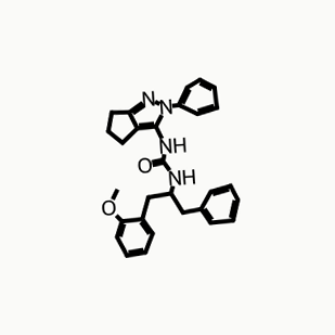 COc1ccccc1CC(Cc1ccccc1)NC(=O)Nc1c2c(nn1-c1ccccc1)CCC2